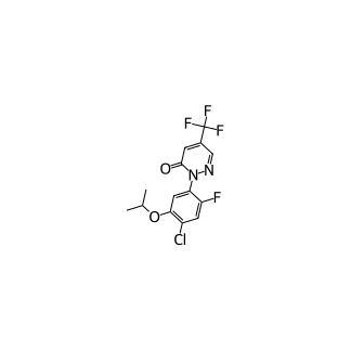 CC(C)Oc1cc(-n2ncc(C(F)(F)F)cc2=O)c(F)cc1Cl